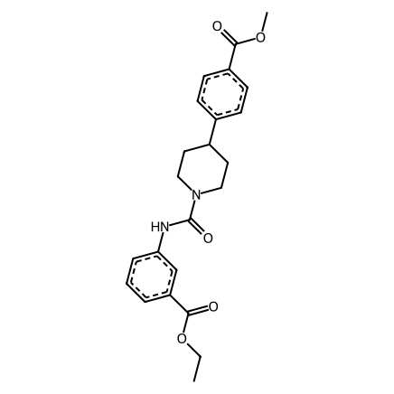 CCOC(=O)c1cccc(NC(=O)N2CCC(c3ccc(C(=O)OC)cc3)CC2)c1